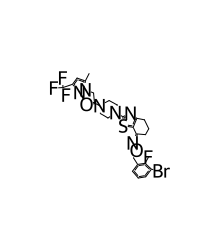 Cc1cc(C(F)(F)F)nn1CC(=O)N1CCN(c2nc3c(s2)C(=NOCc2cccc(Br)c2F)CCC3)CC1